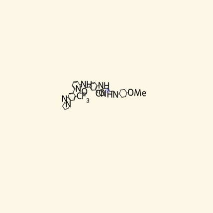 COC1CCC(NC/C=C/C(=O)Nc2ccc(C(=O)Nc3cccc(-c4cc5nc6n(c5cc4C(F)(F)F)CCC6)n3)cc2C#N)CC1